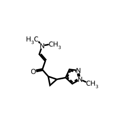 CN(C)/C=C/C(=O)C1CC1c1cnn(C)c1